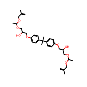 C=C(C)COC(C)OCC(O)COc1ccc(C(C)(C)c2ccc(OCC(O)COC(C)OCC(=C)C)cc2)cc1